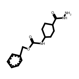 NNC(=O)C1CCC(NC(=O)OCc2ccccc2)CC1